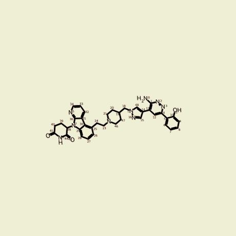 Nc1nnc(-c2ccccc2O)cc1-c1cnn(CC2CCN(CCc3cccc4c3c3cccnc3n4C3CCC(=O)NC3=O)CC2)c1